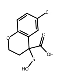 O=C(O)C1(SO)CCOc2ccc(Cl)cc21